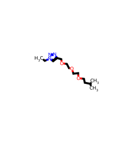 CCn1cc(COCCOCCOCCC(C)C)nn1